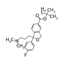 CN(C)CCCC1(c2ccc(F)cc2)OCc2cc(C(=O)OC(C)(C)C)ccc21